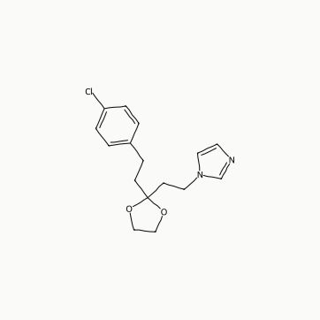 Clc1ccc(CCC2(CCn3ccnc3)OCCO2)cc1